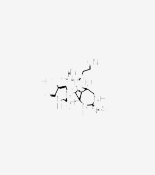 CC[C@]12CN/C(=N\C(C)=O)N[C@@H](C1OP(OCCC#N)N(C(C)C)C(C)C)[C@H](n1cc(C)c(=O)[nH]c1=O)O2